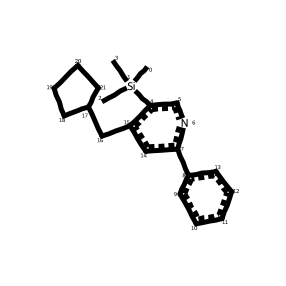 C[Si](C)(C)c1cnc(-c2ccccc2)cc1CC1CCCC1